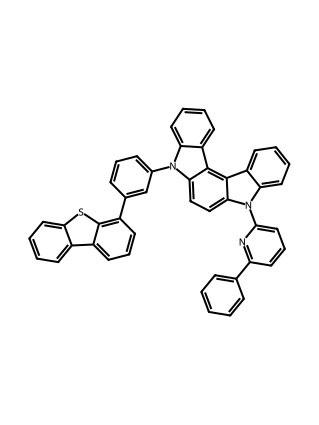 c1ccc(-c2cccc(-n3c4ccccc4c4c5c6ccccc6n(-c6cccc(-c7cccc8c7sc7ccccc78)c6)c5ccc43)n2)cc1